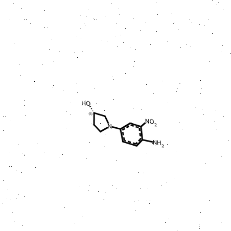 Nc1ccc(N2CC[C@H](O)C2)cc1[N+](=O)[O-]